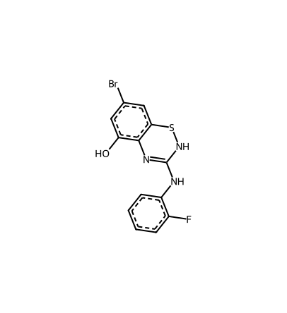 Oc1cc(Br)cc2c1N=C(Nc1ccccc1F)NS2